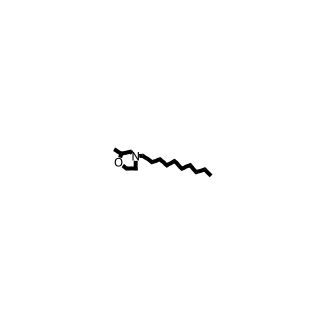 CCCCCCCCCCN1CCOC(C)C1